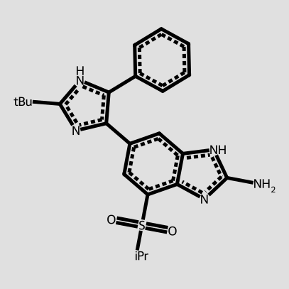 CC(C)S(=O)(=O)c1cc(-c2nc(C(C)(C)C)[nH]c2-c2ccccc2)cc2[nH]c(N)nc12